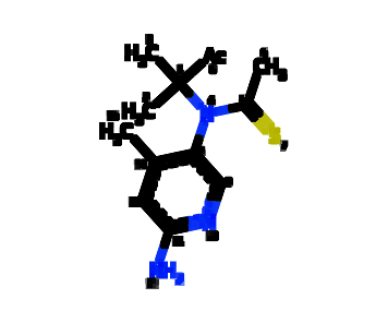 CC(=O)C(C)(C)N(C(C)=S)c1cnc(N)cc1C